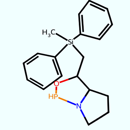 C[Si](CC1OPN2CCCC12)(c1ccccc1)c1ccccc1